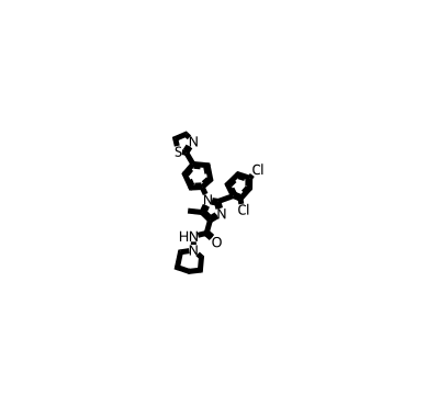 Cc1c(C(=O)NN2CCCCC2)nc(-c2ccc(Cl)cc2Cl)n1-c1ccc(C2=NCCS2)cc1